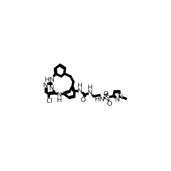 Cn1ccc(S(=O)(=O)NCCNC(=O)Nc2ccc3cc2CCC2C=CC=C(C2)Nc2ncc(Cl)c(n2)N3)n1